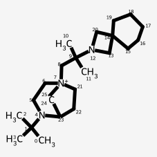 CC(C)(C)N1CC[N+]2(CC(C)(C)N3CC4(CCCCC4)C3)CCC1CC2